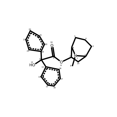 CN1C2CCCC1C(OC(=O)C(O)(c1ccccc1)c1ccccc1)C2